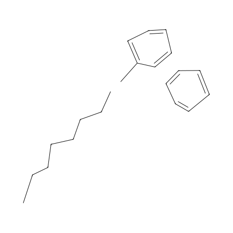 CCCCCCCC.Cc1ccccc1.c1ccccc1